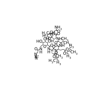 CC(C)[C@H](NC(=O)C(CCC(=O)OC(C)(C)C)NC(=O)[C@H](CC(=O)OC(C)(C)C)NC(=O)C1OC(CNC(=O)CN=[N+]=[N-])C(O)C(O)C1O)C(=O)NC(CC(=O)OC(C)(C)C)C(=O)NCC(N)=O